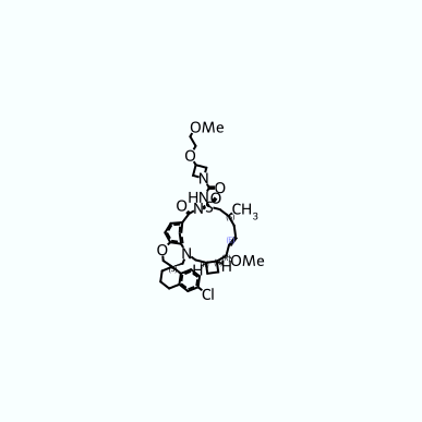 COCCOC1CN(C(=O)NS2(=O)=NC(=O)c3ccc4c(c3)N(C[C@@H]3CC[C@H]3[C@@H](OC)/C=C/C[C@H](C)C2)C[C@@]2(CCCc3cc(Cl)ccc32)CO4)C1